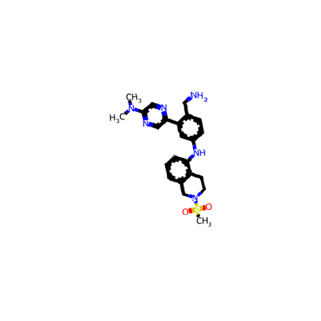 CN(C)c1cnc(-c2cc(Nc3cccc4c3CCN(S(C)(=O)=O)C4)ccc2CN)cn1